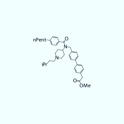 CCCCCc1ccc(C(=O)N(Cc2ccc(-c3ccc(CC(=O)OC)cc3)cc2)C2CCN(CCC(C)C)CC2)cc1